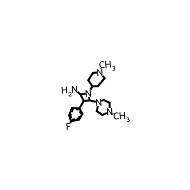 CN1CCC(N2C(N)C(c3ccc(F)cc3)C2N2CCN(C)CC2)CC1